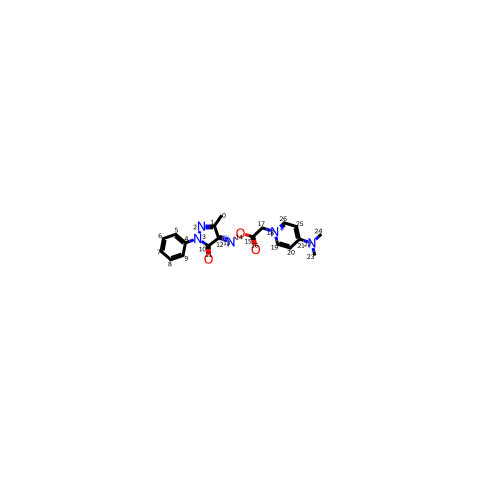 CC1=NN(c2ccccc2)C(=O)/C1=N/OC(=O)C[n+]1ccc(N(C)C)cc1